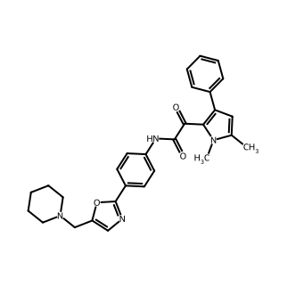 Cc1cc(-c2ccccc2)c(C(=O)C(=O)Nc2ccc(-c3ncc(CN4CCCCC4)o3)cc2)n1C